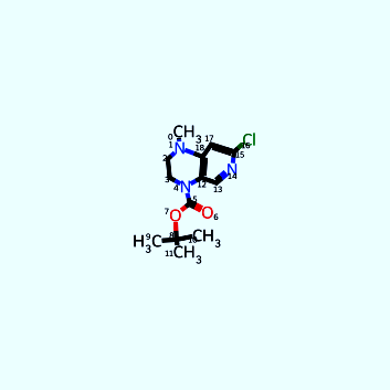 CN1CCN(C(=O)OC(C)(C)C)c2cnc(Cl)cc21